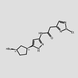 CCCC[C@@H]1CC[C@H](c2cc(NC(=O)Cc3cnn(CC)n3)n[nH]2)C1